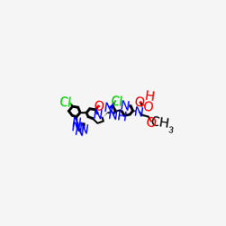 COCCN(C(=O)O)c1ccc(-c2[nH]c([C@@H]3CCc4cc(-c5cc(Cl)ccc5-n5cnnn5)cc(=O)n43)nc2Cl)nc1